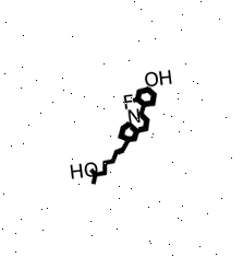 CC(O)CCCC=Cc1ccc2nc(-c3ccc(O)cc3F)ccc2c1